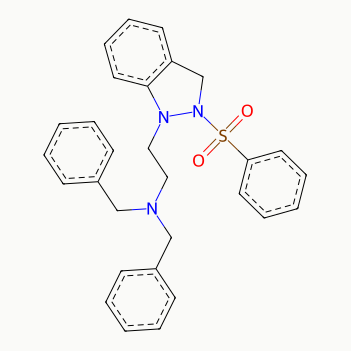 O=S(=O)(c1ccccc1)N1Cc2ccccc2N1CCN(Cc1ccccc1)Cc1ccccc1